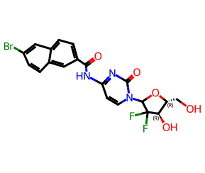 O=C(Nc1ccn(C2O[C@H](CO)[C@@H](O)C2(F)F)c(=O)n1)c1ccc2cc(Br)ccc2c1